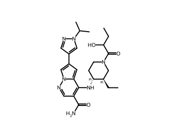 CCC(O)C(=O)N1CC[C@@H](Nc2c(C(N)=O)cnn3cc(-c4cnn(C(C)C)c4)cc23)[C@H](CC)C1